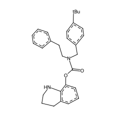 CC(C)(C)c1ccc(CN(CCc2ccccc2)C(=O)Oc2cccc3c2NCCC3)cc1